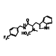 CN(C(=O)O)C(Cc1c[nH]c2ccccc12)C(=O)NCc1ccc(C(F)(F)F)cc1